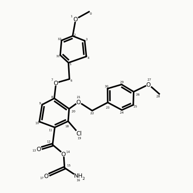 COc1ccc(COc2ccc(C(=O)OC(N)=O)c(Cl)c2OCc2ccc(OC)cc2)cc1